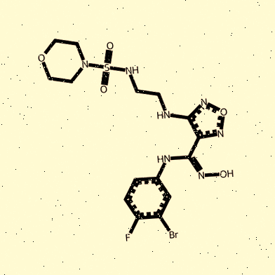 O=S(=O)(NCCNc1nonc1C(=NO)Nc1ccc(F)c(Br)c1)N1CCOCC1